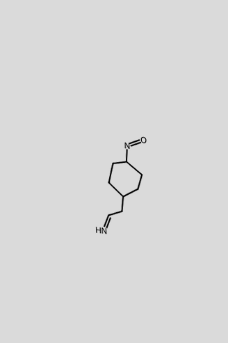 N=CCC1CCC(N=O)CC1